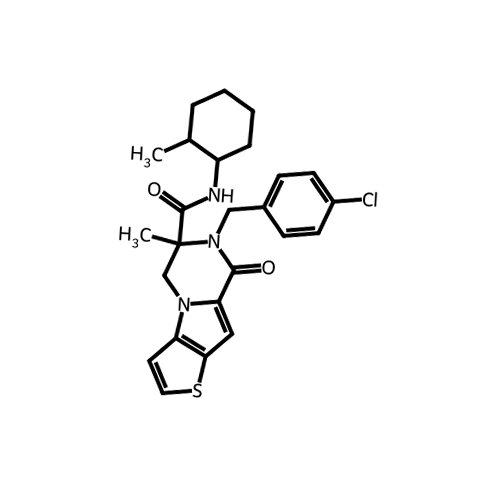 CC1CCCCC1NC(=O)C1(C)Cn2c(cc3sccc32)C(=O)N1Cc1ccc(Cl)cc1